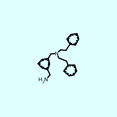 NCc1cccc(CN(CCc2ccccc2)CCc2ccccc2)c1